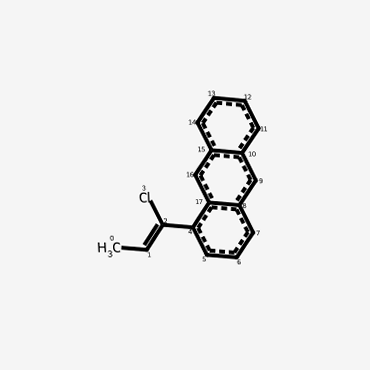 CC=C(Cl)c1cccc2cc3ccccc3cc12